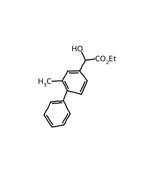 CCOC(=O)C(O)c1ccc(-c2ccccc2)c(C)c1